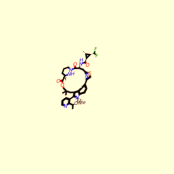 CCn1c(-c2cccnc2[C@H](C)OC)c2c3cc(ccc31)-c1csc(n1)C[C@H](NC(=O)[C@H]1[C@H](C)[C@@H]1C(F)F)C(=O)N1CCC[C@H](N1)C(=O)OCC(C)(C)C2